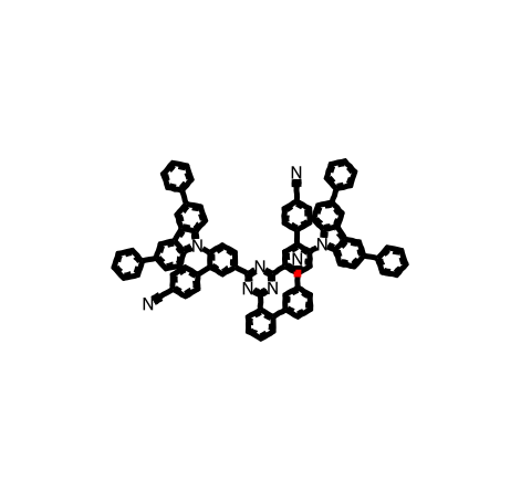 N#Cc1ccc(-c2cc(-c3nc(-c4ccc(-n5c6ccc(-c7ccccc7)cc6c6cc(-c7ccccc7)ccc65)c(-c5ccc(C#N)cc5)c4)nc(-c4ccccc4-c4cccc(C#N)c4)n3)ccc2-n2c3ccc(-c4ccccc4)cc3c3cc(-c4ccccc4)ccc32)cc1